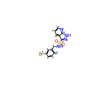 O=S(=O)(NCc1cc(Br)ccc1F)c1n[nH]c2ncccc12